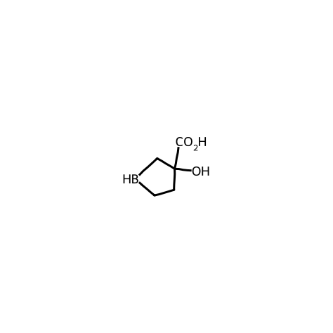 O=C(O)C1(O)CBCC1